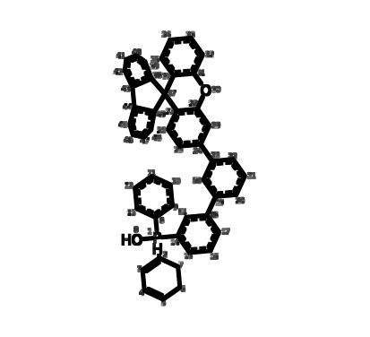 O[PH](C1=CC=CCC1)(c1ccccc1)c1cccc(-c2cccc(-c3ccc4c(c3)Oc3ccccc3C43c4ccccc4-c4ccccc43)c2)c1